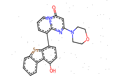 O=c1cc(N2CCOCC2)nc2c(-c3ccc(O)c4c3sc3ccccc34)cccn12